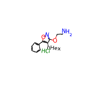 CCCCCCc1c(OCCN)noc1-c1ccccc1.Cl